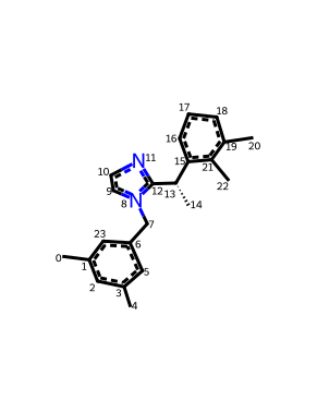 Cc1cc(C)cc(Cn2ccnc2[C@@H](C)c2cccc(C)c2C)c1